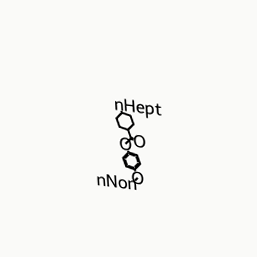 CCCCCCCCCOc1ccc(OC(=O)C2CCC(CCCCCCC)CC2)cc1